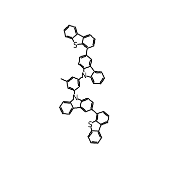 Cc1cc(-n2c3ccccc3c3cc(-c4cccc5c4sc4ccccc45)ccc32)cc(-n2c3ccccc3c3cc(-c4cccc5c4sc4ccccc45)ccc32)c1